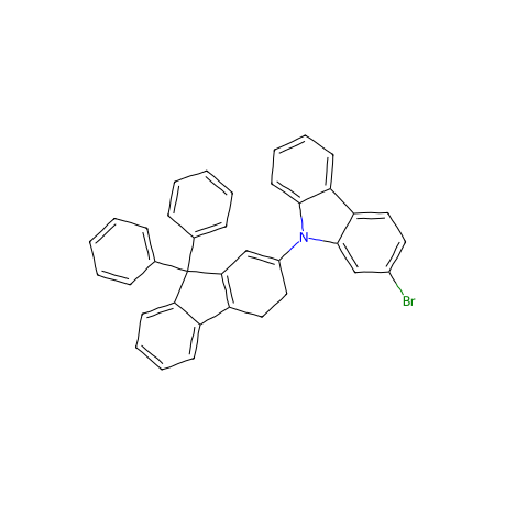 Brc1ccc2c3ccccc3n(C3=CC4=C(CC3)c3ccccc3C4(c3ccccc3)c3ccccc3)c2c1